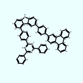 c1ccc(-c2nc(-c3ccccc3)nc(-c3ccc(-c4cccc5sc6ccc(-c7ccc(-c8ccc9c%10ccccc%10c%10ccccc%10c9c8)cc7)cc6c45)cc3)n2)cc1